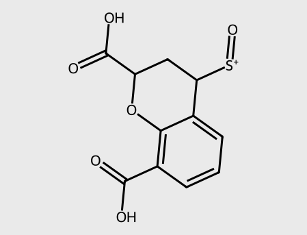 O=[S+]C1CC(C(=O)O)Oc2c(C(=O)O)cccc21